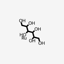 OCC(O)C(O)C(O)C(O)CO.[Ru]